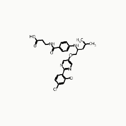 CC(C)CC(COc1cnc(-c2ccc(Cl)cc2Cl)nc1)Nc1ccc(C(=O)NCCC(=O)O)cc1